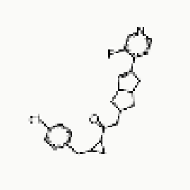 O=C(C[C@H]1CC2C=C(c3ccncc3F)CC2C1)C1CC1Cc1ccc(Cl)cc1